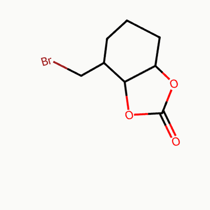 O=C1OC2CCCC(CBr)C2O1